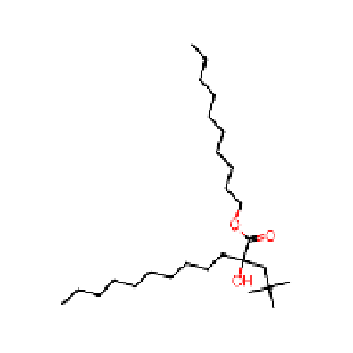 CCCCCCCCCCOC(=O)C(O)(CCCCCCCCCC)CC(C)(C)C